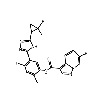 Cc1cc(F)c(-c2nnc(C3CC3(F)F)[nH]2)cc1NC(=O)c1cnn2cc(F)ccc12